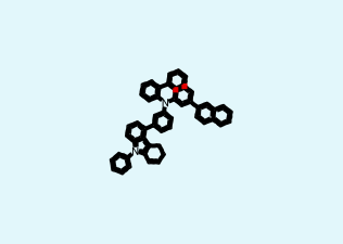 C1=Cc2c(c3c(-c4cccc(N(c5cccc(-c6ccc7ccccc7c6)c5)c5ccccc5-c5ccccc5)c4)cccc3n2-c2ccccc2)CC1